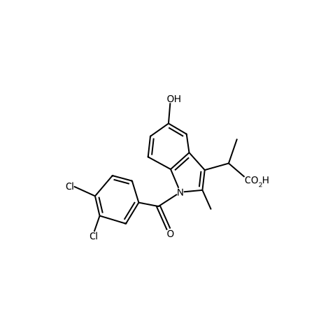 Cc1c(C(C)C(=O)O)c2cc(O)ccc2n1C(=O)c1ccc(Cl)c(Cl)c1